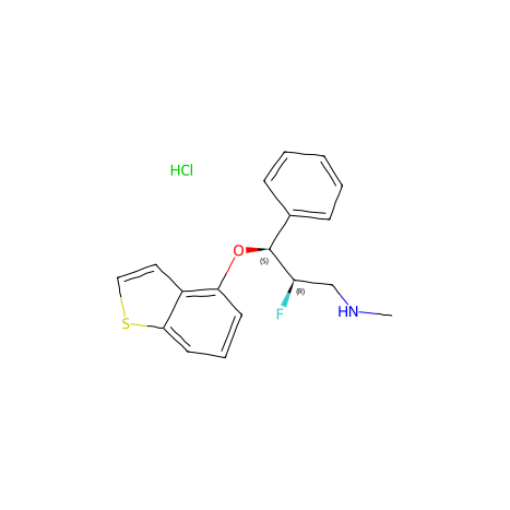 CNC[C@@H](F)[C@@H](Oc1cccc2sccc12)c1ccccc1.Cl